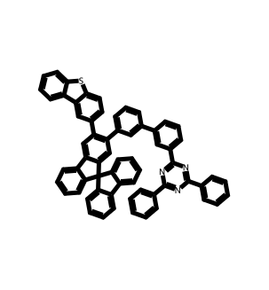 c1ccc(-c2nc(-c3ccccc3)nc(-c3cccc(-c4cccc(-c5cc6c(cc5-c5ccc7sc8ccccc8c7c5)-c5ccccc5C65c6ccccc6-c6ccccc65)c4)c3)n2)cc1